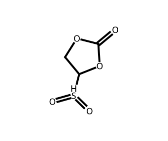 O=C1OCC([SH](=O)=O)O1